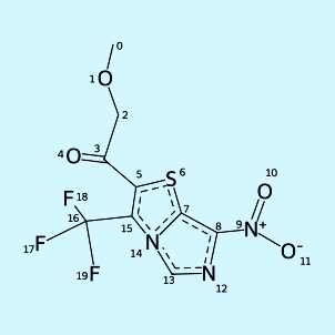 COCC(=O)c1sc2c([N+](=O)[O-])ncn2c1C(F)(F)F